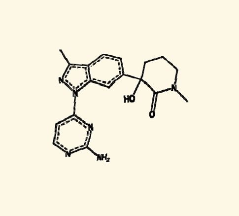 Cc1nn(-c2ccnc(N)n2)c2cc(C3(O)CCCN(C)C3=O)ccc12